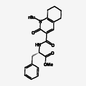 CCCCn1c2c(cc(C(=O)N[C@@H](Cc3ccccc3)C(=O)OC)c1=O)CCCC2